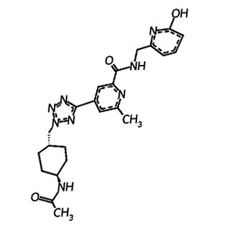 CC(=O)N[C@H]1CC[C@H](Cn2nnc(-c3cc(C)nc(C(=O)NCc4cccc(O)n4)c3)n2)CC1